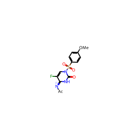 COc1ccc(S(=O)(=O)n2cc(F)/c(=N/C(C)=O)[nH]c2=O)cc1